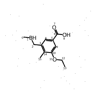 CBCc1cc(C(=O)O)cc(OCC)c1C